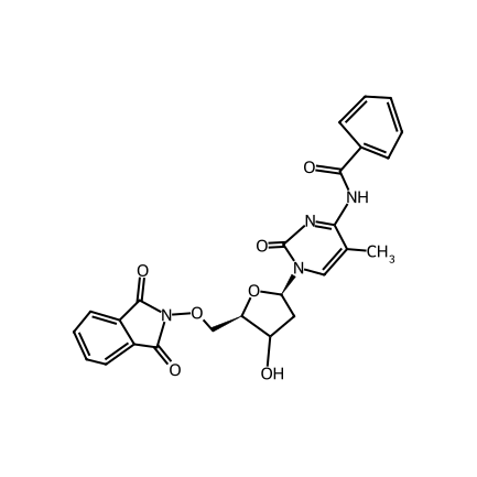 Cc1cn([C@H]2CC(O)[C@@H](CON3C(=O)c4ccccc4C3=O)O2)c(=O)nc1NC(=O)c1ccccc1